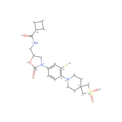 O=C(NCC1CN(c2ccc(N3CCC4(CC3)CS(=O)(=O)C4)c(F)c2)C(=O)O1)C1CCC1